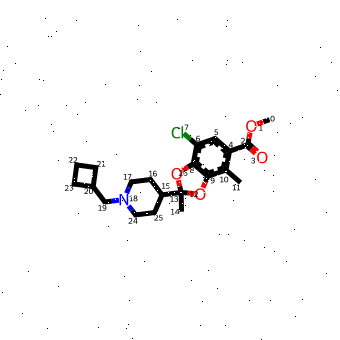 COC(=O)c1cc(Cl)c2c(c1C)OC(C)(C1CCN(CC3CCC3)CC1)O2